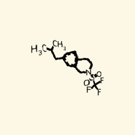 CC(C)Cc1ccc2c(c1)CN(S(=O)(=O)C(F)(F)F)CC2